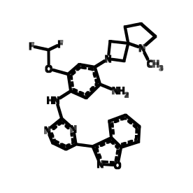 CN1CCCC12CN(c1cc(OC(F)F)c(Nc3nccc(-c4noc5ccccc45)n3)cc1N)C2